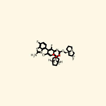 Nc1nc2c(-c3c(Cl)cc4c(N5[C@@H]6CC[C@H]5CC(F)(F)C6)nc(OC[C@@]56CCCN5C[C@H](F)C6)nc4c3F)ccc(F)c2s1